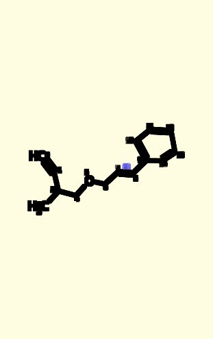 C#CC(C)COC/C=C/c1ccccc1